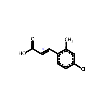 Cc1cc(Cl)ccc1/C=C/C(=O)O